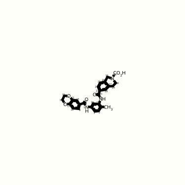 Cc1ccc(NC(=O)c2ccc3c(c2)OCCO3)cc1NC(=O)c1ccc2c(c1)CCN(C(=O)O)C2